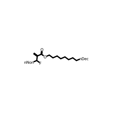 C=C(C(=O)OCCCCCCCCCCCCCCCCCC)C(F)CCCCCCCCC